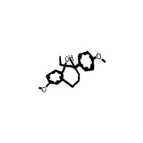 CCC1(O)c2ccc(OC)cc2CCCC1(C)c1ccc(OC)cc1